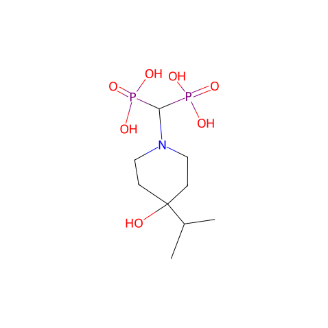 CC(C)C1(O)CCN(C(P(=O)(O)O)P(=O)(O)O)CC1